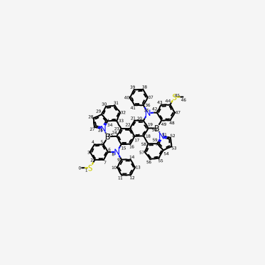 CSc1ccc2c(c1)N(c1ccccc1)c1cc3c4c5c(cc3c3c1B2n1ccc2cccc-3c21)N(c1ccccc1)c1cc(SC)ccc1B5n1ccc2cccc-4c21